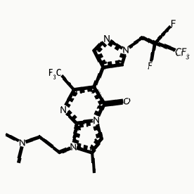 Cc1cn2c(=O)c(-c3cnn(CC(F)(F)C(F)(F)F)c3)c(C(F)(F)F)nc2n1CCN(C)C